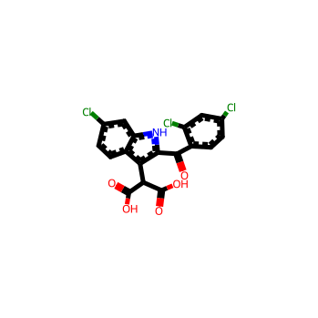 O=C(c1ccc(Cl)cc1Cl)c1[nH]c2cc(Cl)ccc2c1C(C(=O)O)C(=O)O